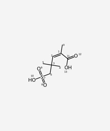 CC(=CC(C)(C)CS(=O)(=O)O)C(=O)O